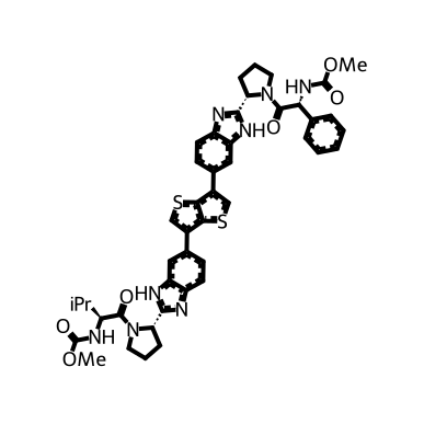 COC(=O)N[C@H](C(=O)N1CCC[C@H]1c1nc2ccc(-c3csc4c(-c5ccc6nc([C@@H]7CCCN7C(=O)[C@H](NC(=O)OC)c7ccccc7)[nH]c6c5)csc34)cc2[nH]1)C(C)C